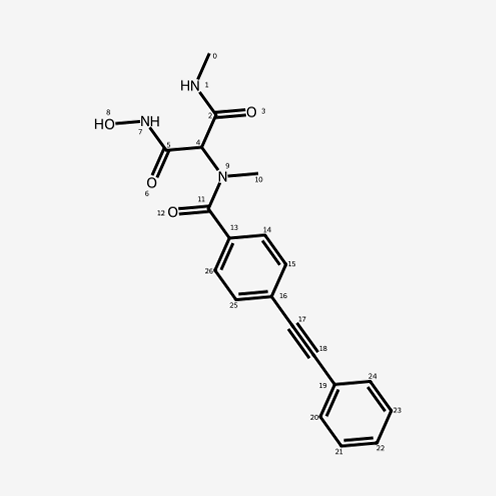 CNC(=O)C(C(=O)NO)N(C)C(=O)c1ccc(C#Cc2ccccc2)cc1